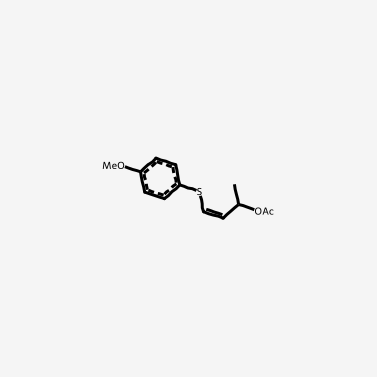 COc1ccc(S/C=C\C(C)OC(C)=O)cc1